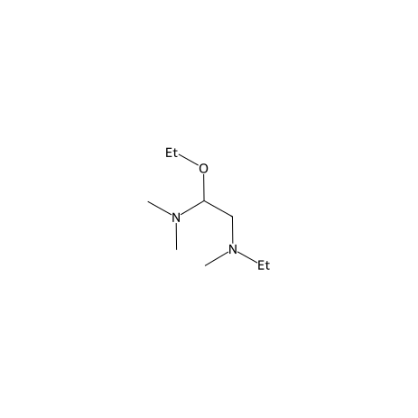 CCOC(CN(C)CC)N(C)C